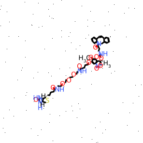 COc1cc(C(C)OC(=O)NCCC(=O)N2Cc3ccccc3C#Cc3ccccc32)c([N+](=O)[O-])cc1OCCCC(=O)NCCOCCOCCOCCNC(=O)CCCC[C@@H]1SC[C@@H]2NC(=O)N[C@@H]21